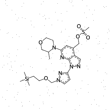 CC1COCCN1c1cc(COS(C)(=O)=O)c2cnn(-c3ccn(COCC[Si](C)(C)C)n3)c2n1